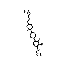 C/C=C/CCC1CCC(C2CCC(c3ccc(OCC)c(F)c3F)CC2)OC1